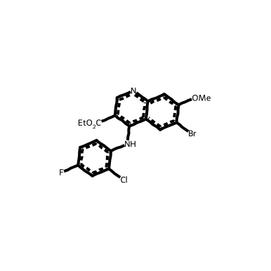 CCOC(=O)c1cnc2cc(OC)c(Br)cc2c1Nc1ccc(F)cc1Cl